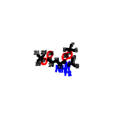 CC(COC(C)(C)C)NC(=O)[C@@H](N)CCC(=O)OC(C)(C)C